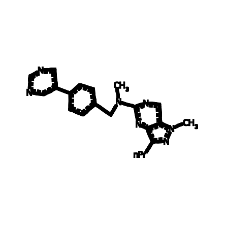 CCCc1nn(C)c2cnc(N(C)Cc3ccc(-c4cncnc4)cc3)nc12